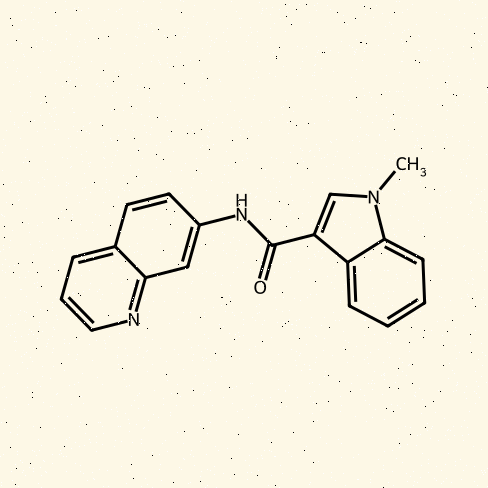 Cn1cc(C(=O)Nc2ccc3cccnc3c2)c2ccccc21